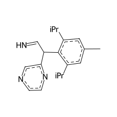 Cc1cc(C(C)C)c(C(C=N)c2cnccn2)c(C(C)C)c1